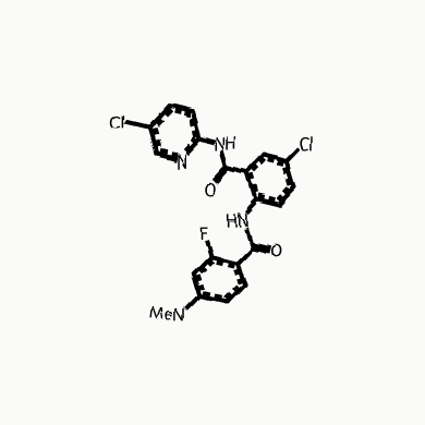 CNc1ccc(C(=O)Nc2ccc(Cl)cc2C(=O)Nc2ccc(Cl)cn2)c(F)c1